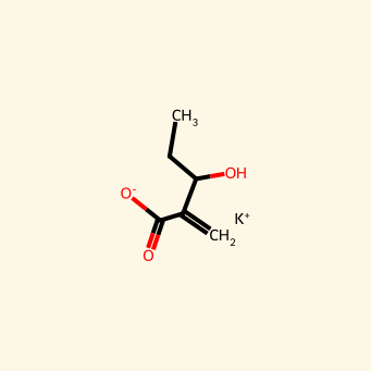 C=C(C(=O)[O-])C(O)CC.[K+]